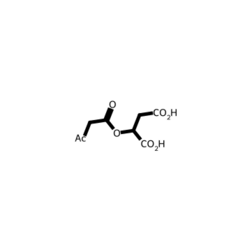 CC(=O)CC(=O)OC(CC(=O)O)C(=O)O